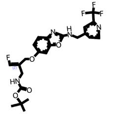 CC(C)(C)OC(=O)NC/C(=C/F)COc1ccc2nc(NCc3ccnc(C(F)(F)F)c3)oc2c1